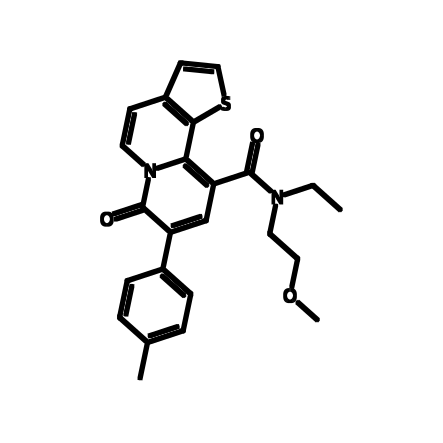 CCN(CCOC)C(=O)c1cc(-c2ccc(C)cc2)c(=O)n2ccc3ccsc3c12